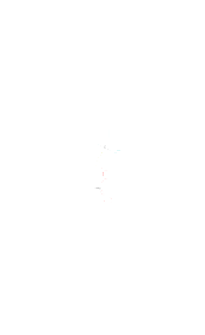 O=C(I)OSC(F)(F)F